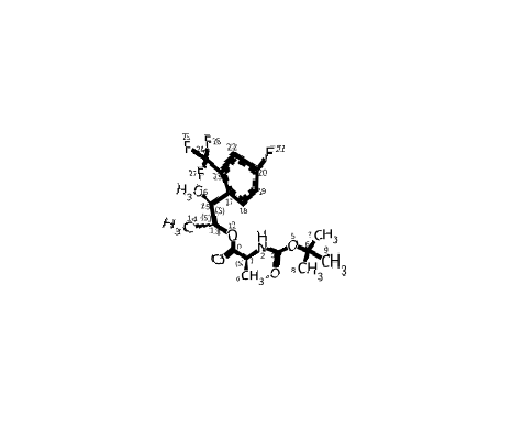 C[C@H](NC(=O)OC(C)(C)C)C(=O)O[C@@H](C)[C@@H](C)c1ccc(F)cc1C(F)(F)F